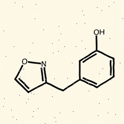 Oc1cccc(Cc2ccon2)c1